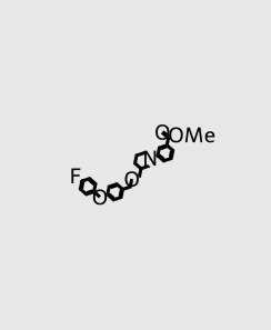 COC(=O)c1cccc(N2CCCC(COCc3ccc(Oc4ccc(F)cc4)cc3)C2)c1